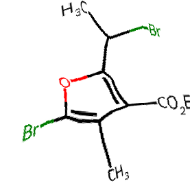 CCOC(=O)c1c(C(C)Br)oc(Br)c1C